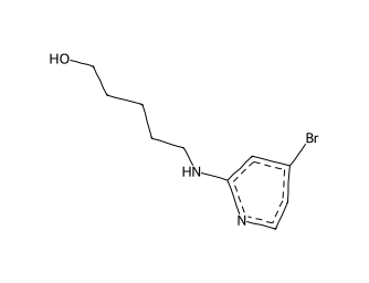 OCCCCCNc1cc(Br)ccn1